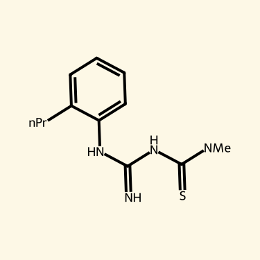 CCCc1ccccc1NC(=N)NC(=S)NC